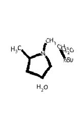 CC1CCCN1C.CCCCC.O.O